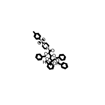 Cc1ccc(S(=O)(=O)N2CCN(C(=O)[C@H](OCc3ccccc3)[C@@H](OCc3ccccc3)[C@H](OCc3ccccc3)[C@@](O)(COCc3ccccc3)[C@@H](C)O)CC2)cc1